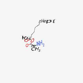 CCCCCCCCCCCC(=O)OC(=O)[C@H](C)N.[KH]